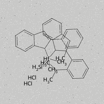 Cc1ccccc1C1=Cc2ccccc2[CH]1[Hf]([CH3])([CH3])(=[SiH2])[CH]1C(c2ccccc2C(C)C)=Cc2ccccc21.Cl.Cl